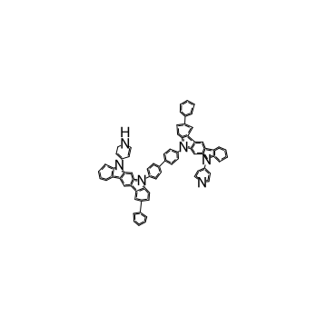 C1=CC(n2c3ccccc3c3cc4c5cc(-c6ccccc6)ccc5n(-c5ccc(-c6ccc(-n7c8ccc(-c9ccccc9)cc8c8cc9c%10ccccc%10n(-c%10ccncc%10)c9cc87)cc6)cc5)c4cc32)=CCN1